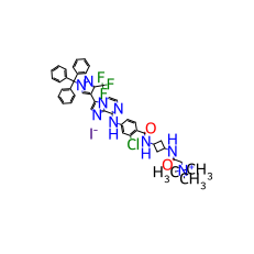 C[N+](C)(C)CC(=O)NC1CC(NC(=O)c2ccc(Nc3nccn4c(-c5cn(C(c6ccccc6)(c6ccccc6)c6ccccc6)nc5C(F)(F)F)cnc34)cc2Cl)C1.[I-]